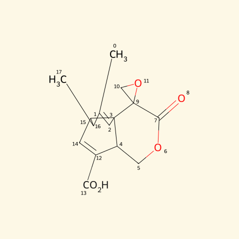 CC1=CC23C(COC(=O)C24CO4)C(C(=O)O)=CC3C1C